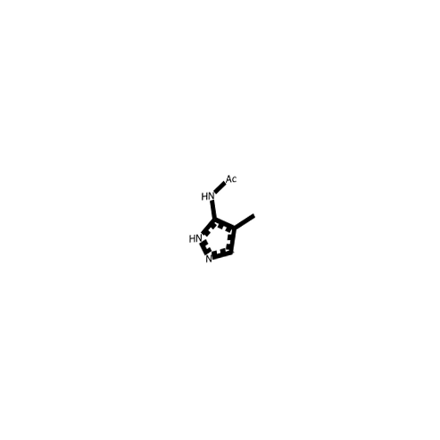 CC(=O)Nc1[nH]n[c]c1C